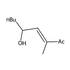 CCCCC(O)/C=C(\C)C(C)=O